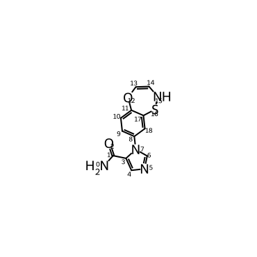 NC(=O)c1cncn1-c1ccc2occ[nH]sc2c1